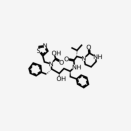 CC(C)[C@@H](C(=O)N[C@@H](Cc1ccccc1)C[C@H](O)[C@H](Cc1ccccc1)N(Cc1cncs1)C(=O)O)N1CCCNC1=O